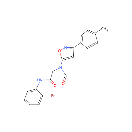 Cc1ccc(-c2cc(N(C=O)CC(=O)Nc3ccccc3Br)on2)cc1